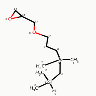 CC[Si](C)(C)C[Si](C)(C)CCCOCC1CO1